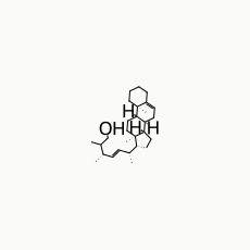 CC(CO)[C@@H](C)C=C[C@@H](C)[C@H]1CC[C@H]2[C@@H]3CC=C4CCCC[C@]4(C)[C@H]3CC[C@]12C